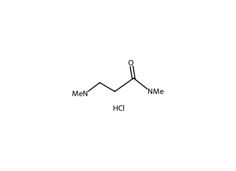 CNCCC(=O)NC.Cl